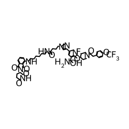 NC(O)c1cc(-c2cn(CCCC(=O)NCCCCCCNc3cccc4c3C(=O)N(C3CCC(=O)NC3=O)C4=O)cn2)cnc1O[C@@H]1CCN(C(=O)Cc2ccc(OC(F)(F)F)cc2)C[C@H]1F